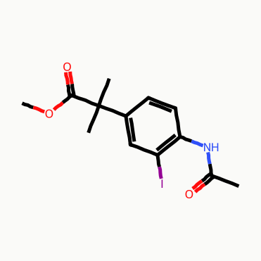 COC(=O)C(C)(C)c1ccc(NC(C)=O)c(I)c1